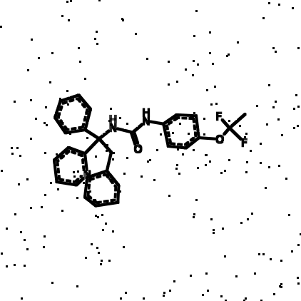 CC(F)(F)Oc1ccc(NC(=O)NC(Cc2ccccc2)(c2ccccc2)c2ccccn2)cc1